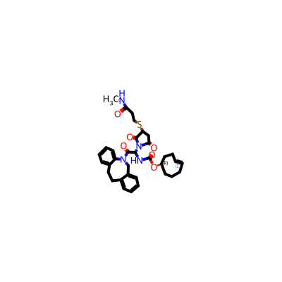 CNC(=O)CCSC1CC(=O)N(C(NC(=O)O[C@H]2CC/C=C/CCC2)C(=O)N2Cc3ccccc3CCc3ccccc32)C1=O